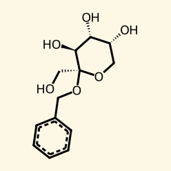 OC[C@@]1(OCc2ccccc2)OC[C@@H](O)[C@@H](O)[C@@H]1O